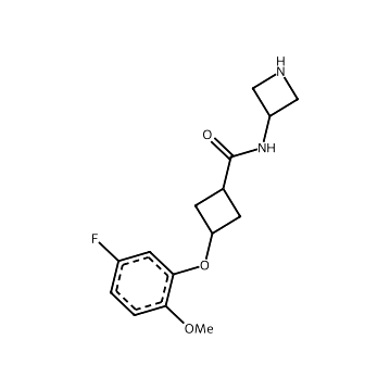 COc1ccc(F)cc1OC1CC(C(=O)NC2CNC2)C1